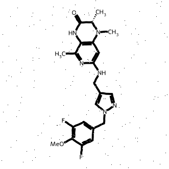 COc1c(F)cc(Cn2cc(CNc3cc4c(c(C)n3)NC(=O)[C@H](C)N4C)cn2)cc1F